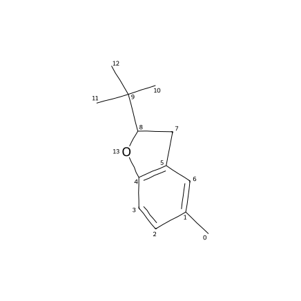 Cc1ccc2c(c1)CC(C(C)(C)C)O2